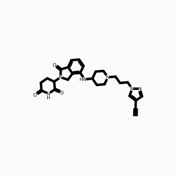 C#Cc1cnn(CCCN2CCC(Nc3cccc4c3CN(C3CCC(=O)NC3=O)C4=O)CC2)c1